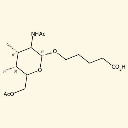 CC(=O)NC1[C@H](OCCCCC(=O)O)OC(COC(C)=O)[C@H](C)[C@@H]1C